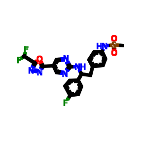 CS(=O)(=O)Nc1ccc(CC(Nc2ncc(-c3nnc(C(F)F)o3)cn2)c2ccc(F)cc2)cc1